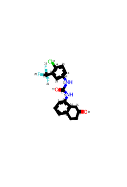 O=C1CCc2cccc(NC(=O)Nc3ccc(Cl)c(C(F)(F)F)c3)c2C1